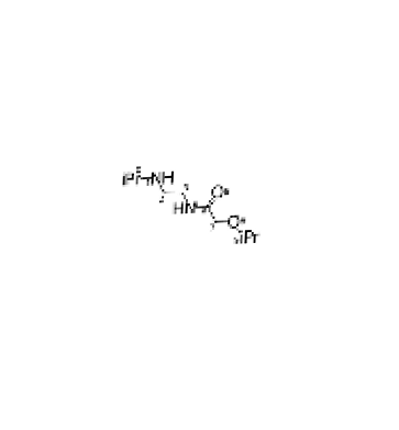 CC(C)NCCNC(=O)COC(C)C